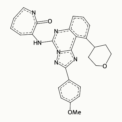 COc1ccc(-c2nc3c4c(C5CCOCC5)cccc4nc(Nc4ccccnc4=O)n3n2)cc1